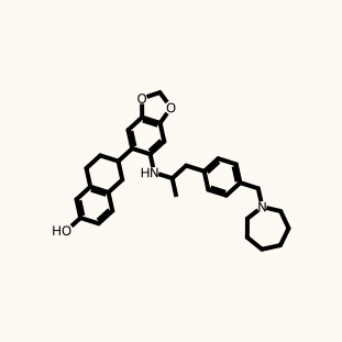 CC(Cc1ccc(CN2CCCCCC2)cc1)Nc1cc2c(cc1C1CCc3cc(O)ccc3C1)OCO2